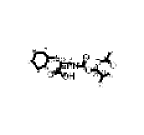 CC(=O)O[C@H](OC(=O)NC[C@H](SC1CCCCC1)C(=O)O)C(C)C